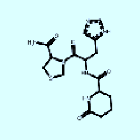 NC(=O)C1CSCN1C(=O)C(Cc1cnc[nH]1)NC(=O)C1CCCC(=O)N1